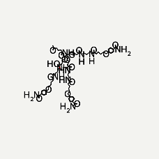 CC(=O)CCCC(=O)NC(COCCC(=O)NCCCNC(=O)CCCCOc1ccc(C(N)=O)cc1)(COCCC(=O)NCCCNC(=O)CCCCOc1ccc(C(N)=O)cc1)COCCC(O)NCCCNC(=O)CCCCOc1ccc(C(N)=O)cc1